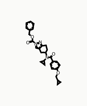 O=C(c1ccc(OCC2CC2)cc1)N(C1CC1)C1CCc2nn(C(=O)OCc3ccccc3)cc2C1